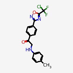 Cc1ccc(NCC(=O)c2ccc(-c3noc(C(F)(F)Cl)n3)cc2)cc1